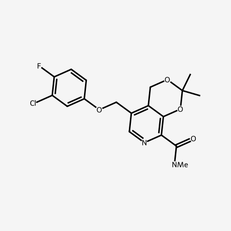 CNC(=O)c1ncc(COc2ccc(F)c(Cl)c2)c2c1OC(C)(C)OC2